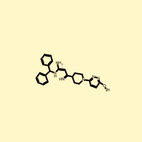 CC(C)Oc1ccc(N2CCC(C(=N)/C=C(/N)NC(c3ccccc3)c3ccccc3)CC2)nn1